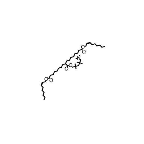 CCCCCC/C=C\COC(=O)CCCCCCCC(CCCCCCCC(=O)OC/C=C\CCCCCC)C(=O)OCC(C)(C)CC(C)(C)CN(C)C